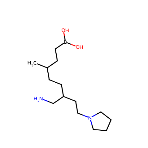 CC(CCB(O)O)CCC(CN)CCN1CCCC1